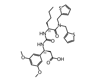 CCCC[C@H](NC(=O)N[C@@H](CC(=O)O)c1cc(OC)cc(OC)c1)C(=O)N(Cc1cccs1)Cc1cccs1